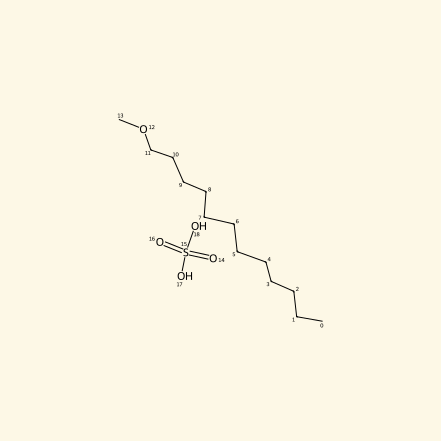 CCCCCCCCCCCCOC.O=S(=O)(O)O